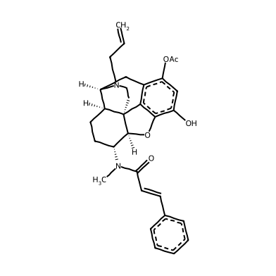 C=CCN1CC[C@]23c4c5c(OC(C)=O)cc(O)c4O[C@H]2[C@H](N(C)C(=O)C=Cc2ccccc2)CC[C@H]3[C@H]1C5